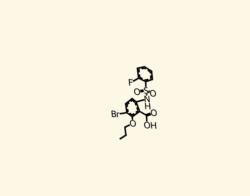 CCCOc1c(Br)ccc(NS(=O)(=O)c2ccccc2F)c1C(=O)O